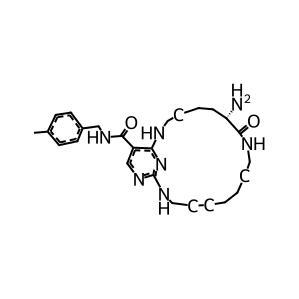 Cc1ccc(CNC(=O)c2cnc3nc2NCCCC[C@H](N)C(=O)NCCCCCCCN3)cc1